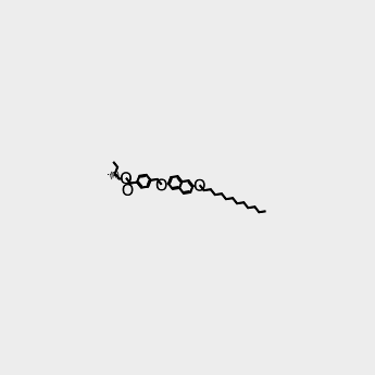 CCCCCCCCCCCCOc1ccc2cc(OCc3ccc(C(=O)OC[C@H](C)CC)cc3)ccc2c1